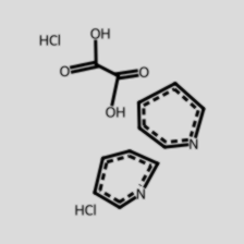 Cl.Cl.O=C(O)C(=O)O.c1ccncc1.c1ccncc1